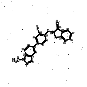 Cn1ncc2cc(-c3ccc(CN4Cc5ncccc5C4=O)c(F)c3)ccc21